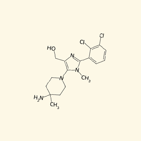 Cn1c(-c2cccc(Cl)c2Cl)nc(CO)c1N1CCC(C)(N)CC1